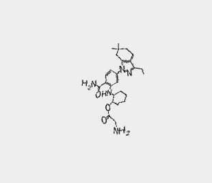 CCc1nn(-c2ccc(C(N)=O)c(NC3CCCCC3OC(=O)CN)c2)c2c1CCC(C)(C)C2